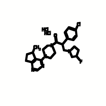 CC1CCc2ncnc(N3CCN(C(=O)C(CN4CCC(F)C4)c4ccc(Cl)cc4)CC3)c21.Cl.Cl